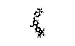 CCc1cc(CN2CCN(S(C)(=O)=O)CC2)ncc1-c1ccc2c(c1)C(F)(F)C2(O)C(F)(F)F